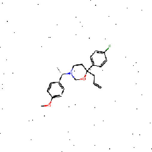 C=CCC1(c2ccc(F)cc2)CCN([C@@H](C)c2ccc(OC)cc2)CO1